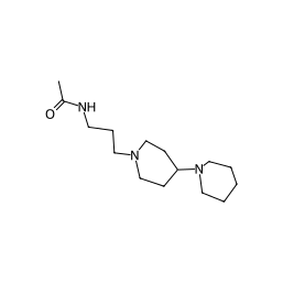 CC(=O)NCCCN1CCC(N2CCCCC2)CC1